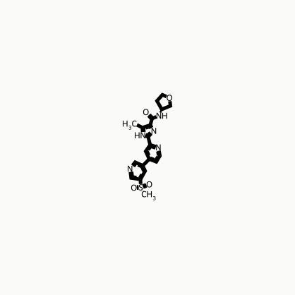 Cc1[nH]c(-c2cc(-c3cncc(S(C)(=O)=O)c3)ccn2)nc1C(=O)N[C@H]1CCOC1